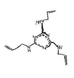 C=CCNc1nc(NCC=C)nc(NCC=C)n1